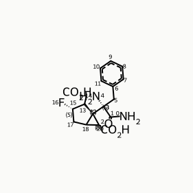 NC(=O)[C@](N)(Cc1ccccc1)[C@@]12C(C(=O)O)[C@@H](F)CC1[C@@H]2C(=O)O